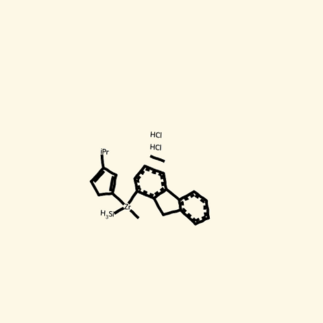 CC.CC(C)C1=CC[C]([Zr]([CH3])([SiH3])[c]2cccc3c2Cc2ccccc2-3)=C1.Cl.Cl